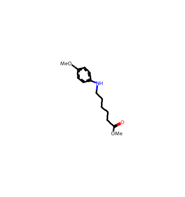 COC(=O)CCCCCNc1ccc(OC)cc1